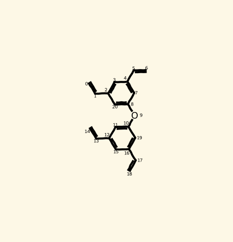 C=Cc1cc(C=C)cc(Oc2cc(C=C)cc(C=C)c2)c1